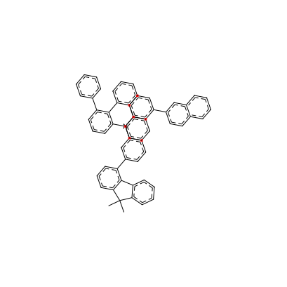 CC1(C)c2ccccc2-c2c(-c3cccc(N(c4cccc(-c5ccc6ccccc6c5)c4)c4cccc(-c5ccccc5)c4-c4ccccc4-c4ccccc4)c3)cccc21